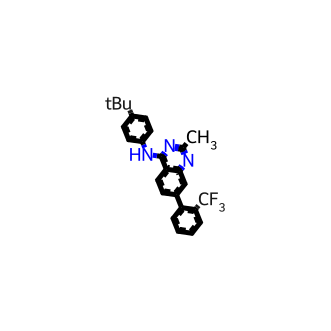 Cc1nc(Nc2ccc(C(C)(C)C)cc2)c2ccc(-c3ccccc3C(F)(F)F)cc2n1